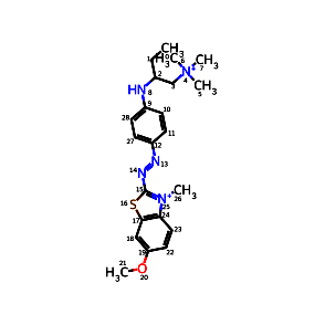 CCC(C[N+](C)(C)C)Nc1ccc(N=Nc2sc3cc(OC)ccc3[n+]2C)cc1